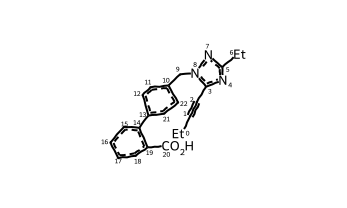 CCC#Cc1nc(CC)nn1Cc1ccc(-c2ccccc2C(=O)O)cc1